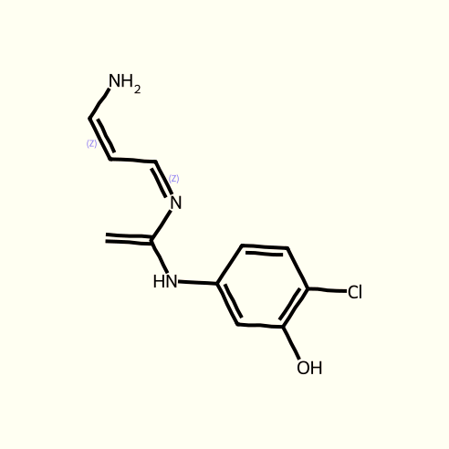 C=C(/N=C\C=C/N)Nc1ccc(Cl)c(O)c1